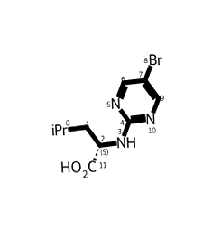 CC(C)C[C@H](Nc1ncc(Br)cn1)C(=O)O